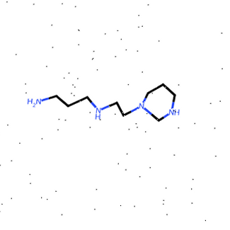 NCCCNCCN1CCCNC1